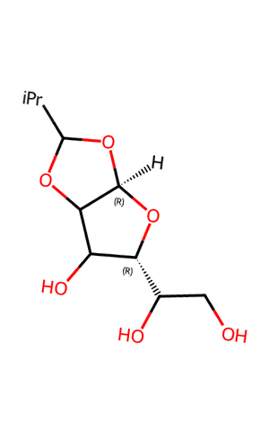 CC(C)C1OC2C(O)[C@@H](C(O)CO)O[C@@H]2O1